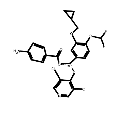 Nc1ccc(C(=O)O[C@@H](Cc2c(Cl)cncc2Cl)c2ccc(OC(F)F)c(OCC3CC3)c2)cc1